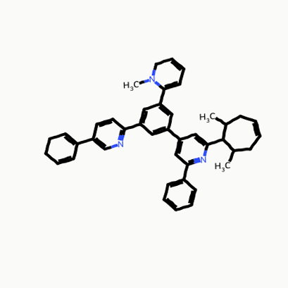 CC1CC=CCC(C)C1c1cc(-c2cc(C3=CC=CCN3C)cc(-c3ccc(C4=CCCC=C4)cn3)c2)cc(-c2ccccc2)n1